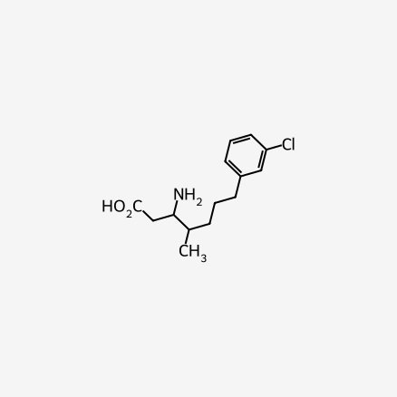 CC(CCCc1cccc(Cl)c1)C(N)CC(=O)O